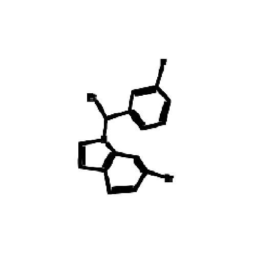 CCC(c1cccc(F)c1)n1ccc2ccc(Br)cc21